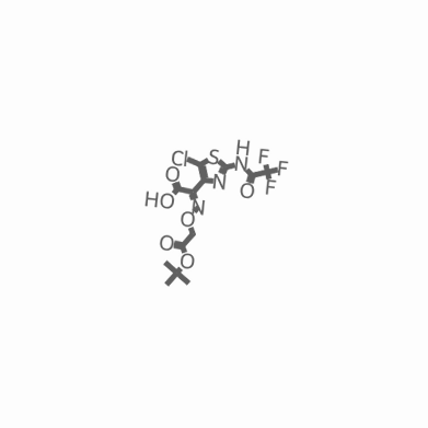 CC(C)(C)OC(=O)CON=C(C(=O)O)c1nc(NC(=O)C(F)(F)F)sc1Cl